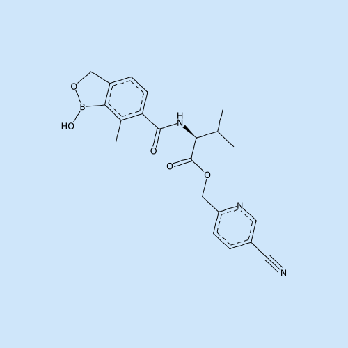 Cc1c(C(=O)N[C@H](C(=O)OCc2ccc(C#N)cn2)C(C)C)ccc2c1B(O)OC2